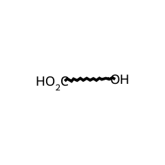 O=C(O)CCCCCCCCCCCCCC[CH]O